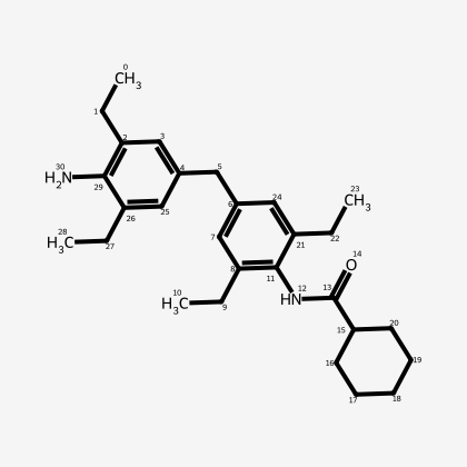 CCc1cc(Cc2cc(CC)c(NC(=O)C3CCCCC3)c(CC)c2)cc(CC)c1N